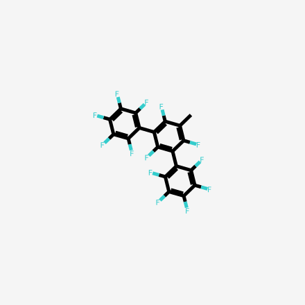 Cc1c(F)c(-c2c(F)c(F)c(F)c(F)c2F)c(F)c(-c2c(F)c(F)c(F)c(F)c2F)c1F